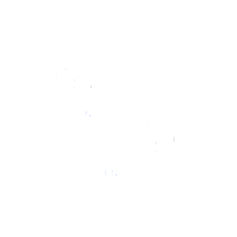 Cc1ccc2c(c1O)C[C@@H](C1CCN(Cc3cccc(C(F)(F)F)c3)CC1)O[C@H]2CN